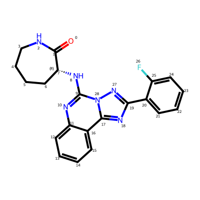 O=C1NCCCC[C@H]1Nc1nc2ccccc2c2nc(-c3ccccc3F)nn12